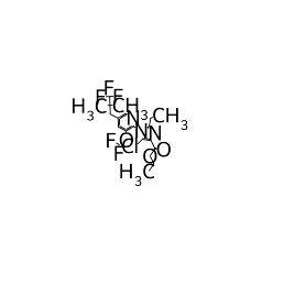 CCOC(=O)c1nc(CC)n(-c2ncc(CC(C)(C)C(F)(F)F)cc2OC(F)F)c1Cl